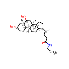 C[C@H](CCC(=O)NCC(=O)O)[C@H]1CC[C@H]2[C@@H]3C[C@H](O)[C@@H]4C[C@H](O)CC[C@]4(C)[C@H]3CC[C@]12C